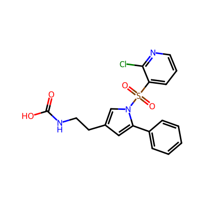 O=C(O)NCCc1cc(-c2ccccc2)n(S(=O)(=O)c2cccnc2Cl)c1